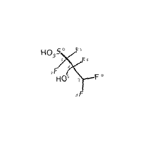 O=S(=O)(O)C(F)(F)C(O)(F)C(F)F